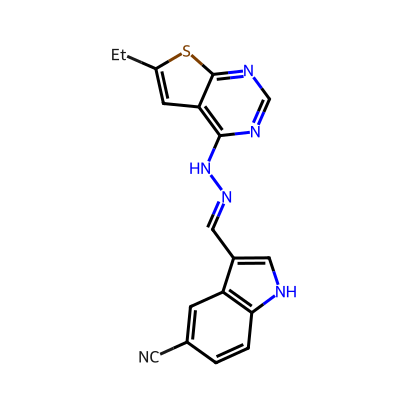 CCc1cc2c(NN=Cc3c[nH]c4ccc(C#N)cc34)ncnc2s1